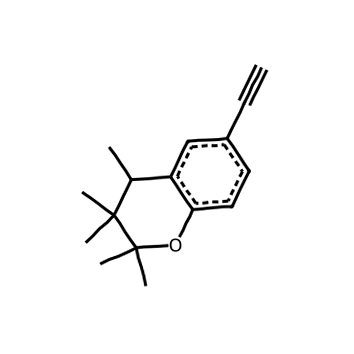 C#Cc1ccc2c(c1)C(C)C(C)(C)C(C)(C)O2